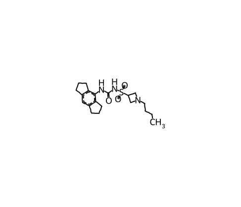 CCCCN1CC(S(=O)(=O)NC(=O)Nc2c3c(cc4c2CCC4)CCC3)C1